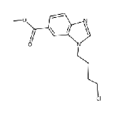 COC(=O)c1ccc2ncn(CCCCCl)c2c1